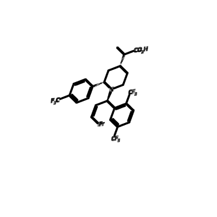 CC(C)/C=C\[C@H](c1cc(C(F)(F)F)ccc1C(F)(F)F)N1CC[C@@H](C(C)C(=O)O)C[C@H]1c1ccc(C(F)(F)F)cc1